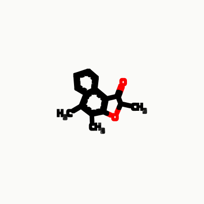 Cc1c2c(c3ccccc3c1C)C(=O)C(C)O2